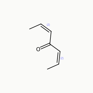 C/C=C\C(=O)/C=C\C